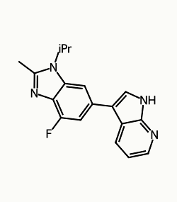 Cc1nc2c(F)cc(-c3c[nH]c4ncccc34)cc2n1C(C)C